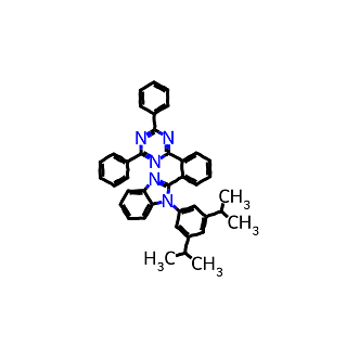 CC(C)c1cc(C(C)C)cc(-n2c(-c3ccccc3-c3nc(-c4ccccc4)nc(-c4ccccc4)n3)nc3ccccc32)c1